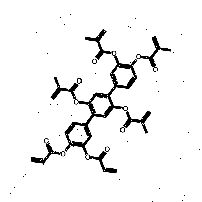 C=CC(=O)Oc1ccc(-c2cc(OC(=O)C(=C)C)c(-c3ccc(OC(=O)C(=C)C)c(OC(=O)C(=C)C)c3)cc2OC(=O)C(=C)C)cc1OC(=O)C=C